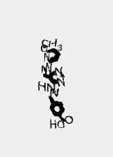 COc1cccc(-n2ncc3c(NN=Cc4ccc(C(=O)O)cc4)ncnc32)n1